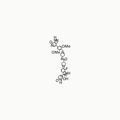 COc1cc(-c2cn(C)c(=O)c3[nH]ncc23)cc(OC)c1CN1CCC(N(C)C(=O)C2CCN(c3ccc4c(N5CCC(=O)NC5O)n[nH]c4c3F)CC2)CC1